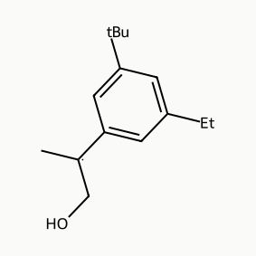 CCc1cc([C](C)CO)cc(C(C)(C)C)c1